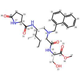 CC[C@H](C)[C@@H](CN(CC(=O)N[C@@H](CO)C(=O)OC)Cc1cccc2ccccc12)NC(=O)[C@@H]1CCC(=O)N1